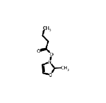 CCCC(=O)ON1C=COC1C